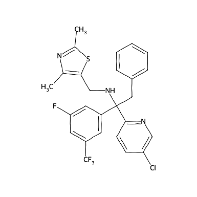 Cc1nc(C)c(CNC(Cc2ccccc2)(c2cc(F)cc(C(F)(F)F)c2)c2ccc(Cl)cn2)s1